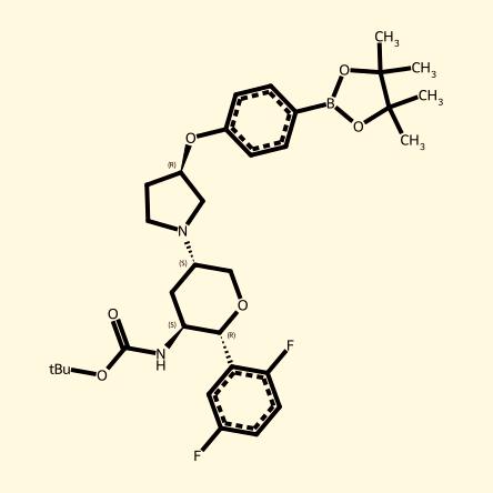 CC(C)(C)OC(=O)N[C@H]1C[C@H](N2CC[C@@H](Oc3ccc(B4OC(C)(C)C(C)(C)O4)cc3)C2)CO[C@@H]1c1cc(F)ccc1F